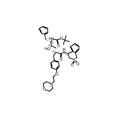 CC(C)(C)OC(=O)N[C@@H](Cc1ccccc1)[C@@H](O)C[C@@H](Cc1ccc(OCCN2CCOCC2)cc1)C(=O)N[C@@H]1CS(=O)(=O)Cc2ccccc21